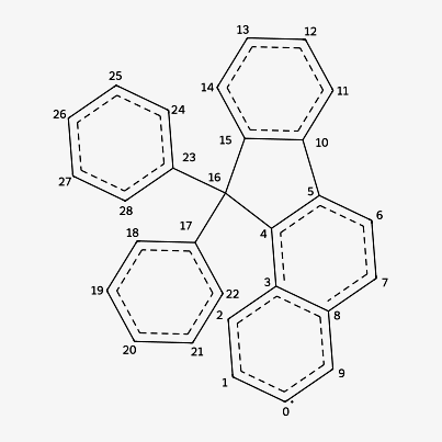 [c]1ccc2c3c(ccc2c1)-c1ccccc1C3(c1ccccc1)c1ccccc1